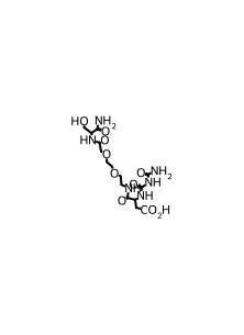 NC(=O)NC(=O)NC(CC(=O)O)C(=O)NCCOCCOCC(=O)NC(CO)C(N)=O